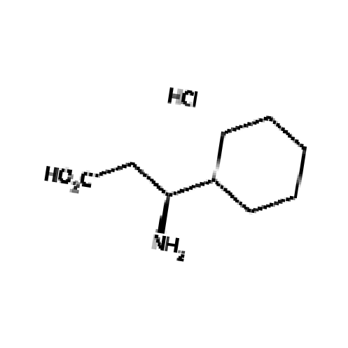 Cl.N[C@@H](CC(=O)O)C1CCCCC1